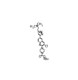 CN(C)CCn1cc(-c2ccc3nc(N4CCN(C(=O)OC(C)(C)C)CC4)c(Cl)cc3c2)nn1